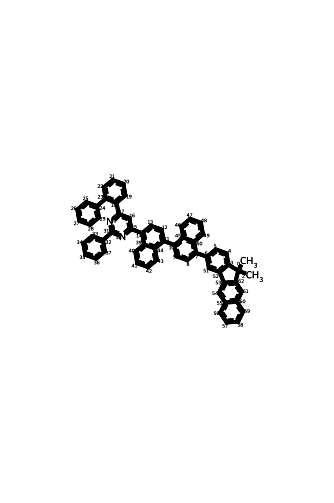 CC1(C)c2ccc(-c3ccc(-c4ccc(-c5cc(-c6ccccc6-c6ccccc6)nc(-c6ccccc6)n5)c5ccccc45)c4ccccc34)cc2-c2cc3ccccc3cc21